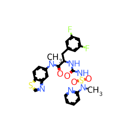 CN(C(=O)C(Cc1cc(F)cc(F)c1)NC(=O)NS(=O)(=O)N(C)c1ccccn1)c1ccc2scnc2c1